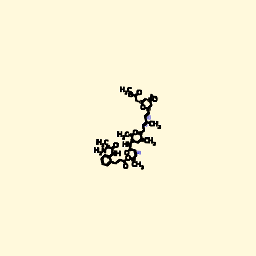 COC(=O)C[C@@H]1C[C@@]2(CO2)C[C@@H](/C=C/C(C)=C/C[C@@H]2O[C@H](C)[C@H](NC(=O)/C=C\[C@H](C)OC(=O)CCc3ccccc3NC(=O)[C@H](C)N)C[C@@H]2C)O1